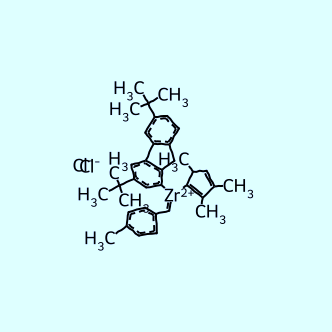 CC1=CC(C)[C](/[Zr+2](=[CH]/c2ccc(C)cc2)[c]2cc(C(C)(C)C)cc3c2Cc2ccc(C(C)(C)C)cc2-3)=C1C.[Cl-].[Cl-]